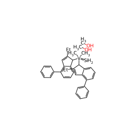 CCC1=Cc2c(-c3ccccc3)cccc2[CH]1[V]([CH3])([CH3])(=[SiH2])[CH]1C(CC)=Cc2c(-c3ccccc3)cccc21.CO.CO